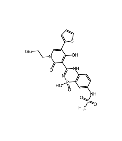 CC(C)(C)CCn1cc(-c2cccs2)c(O)c(C2=NP(=O)(O)c3cc(NS(C)(=O)=O)ccc3N2)c1=O